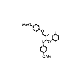 COc1ccc(N=C(Oc2cccc(C)c2)C(C)=COc2ccc(OC)cc2)cc1